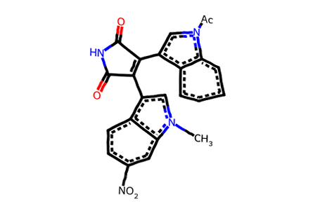 CC(=O)n1cc(C2=C(c3cn(C)c4cc([N+](=O)[O-])ccc34)C(=O)NC2=O)c2ccccc21